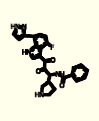 O=C(NC(C(=O)C(=O)c1c[nH]c2c(-c3cc[nH]n3)ccc(F)c12)C1CCNC1)c1ccccc1